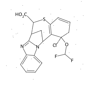 O=C(O)C1SC2=C(C3CC1c1nc4ccccc4n13)C(Cl)(OC(F)F)CC=C2